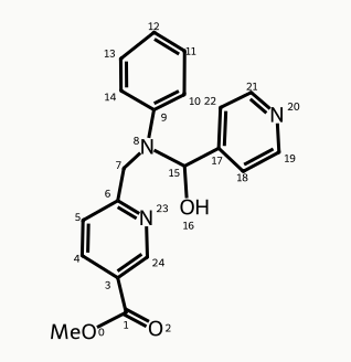 COC(=O)c1ccc(CN(c2ccccc2)C(O)c2ccncc2)nc1